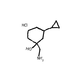 Cl.NCC1(O)CCCC(C2CC2)C1